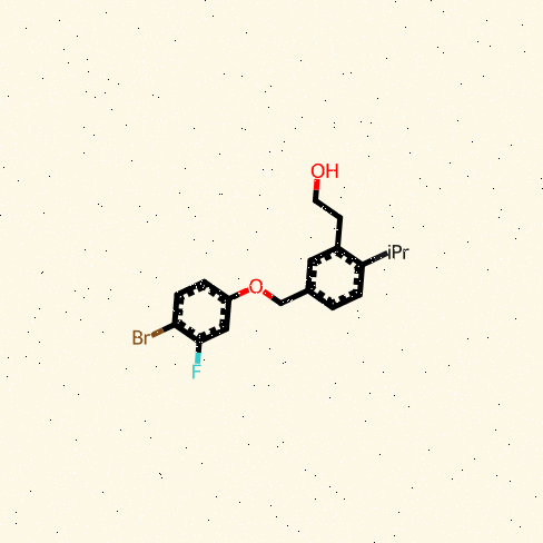 CC(C)c1ccc(COc2ccc(Br)c(F)c2)cc1CCO